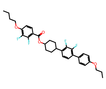 CCCCOc1ccc(C(=O)OC2CCC(c3ccc(-c4ccc(OCCC)cc4)c(F)c3F)CC2)c(F)c1F